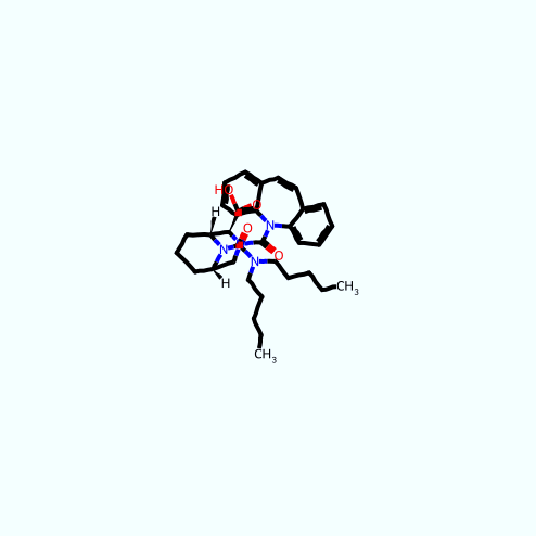 CCCCCN(CCCCC)C(=O)N1[C@H]2CCC[C@@H]1[C@@H](C(=O)O)N(C(=O)N1c3ccccc3C=Cc3ccccc31)C2